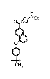 CCNC1CN(C(=O)c2ccc3c(Oc4ccc(C(C)(F)F)cc4)cccc3c2)C1